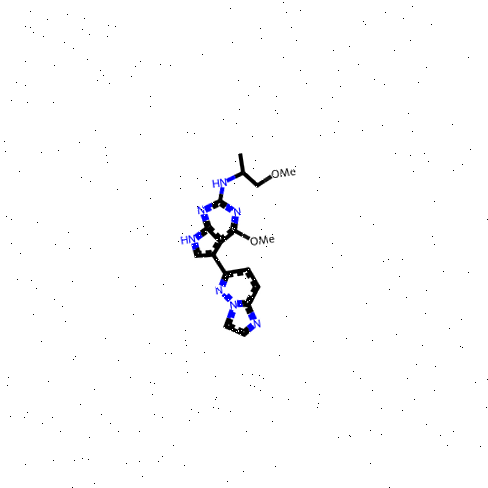 COCC(C)Nc1nc(OC)c2c(-c3ccc4nccn4n3)c[nH]c2n1